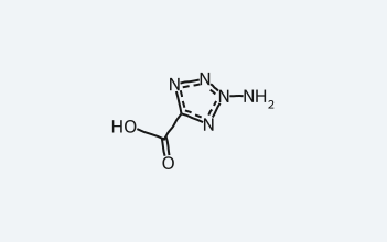 Nn1nnc(C(=O)O)n1